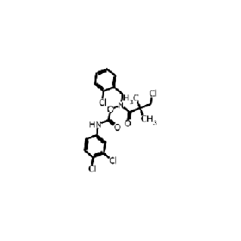 CC(C)(CCl)C(=O)N(Cc1ccccc1Cl)OC(=O)Nc1ccc(Cl)c(Cl)c1